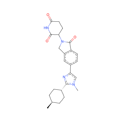 Cn1cc(-c2ccc3c(c2)CN(C2CCC(=O)NC2=O)C3=O)nc1[C@H]1CC[C@H](C)CC1